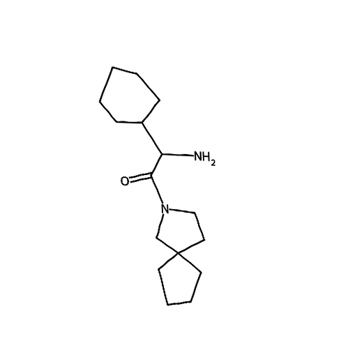 NC(C(=O)N1CCC2(CCCC2)C1)C1CCCCC1